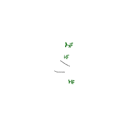 CC.CC.F.F.F